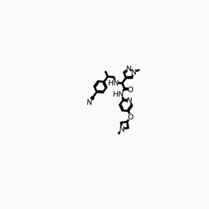 CC(CNC(C(=O)Nc1ccc(OC2CN(C)C2)cn1)c1cnn(C)c1)c1ccc(C#N)cc1